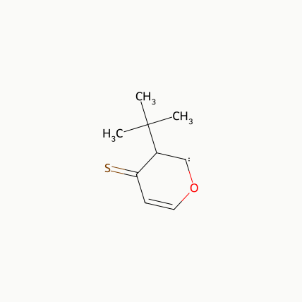 CC(C)(C)C1[C]OC=CC1=S